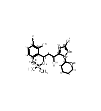 CC(C)(C)[Si](C)(C)OC(CC(O)c1nc(Br)nn1C1CCCCO1)c1c(F)ccc(F)c1F